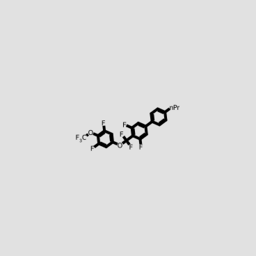 CCCc1ccc(-c2cc(F)c(C(F)(F)Oc3cc(F)c(OC(F)(F)F)c(F)c3)c(F)c2)cc1